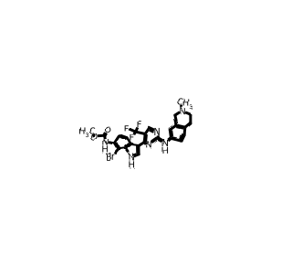 COC(=O)Nc1ccc2c(-c3nc(Nc4ccc5c(c4)CN(C)CC5)ncc3C(F)(F)F)c[nH]c2c1Br